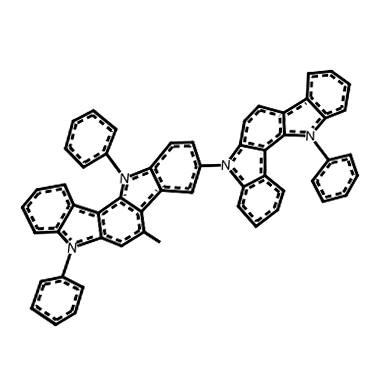 Cc1cc2c(c3ccccc3n2-c2ccccc2)c2c1c1cc(-n3c4ccccc4c4c3ccc3c5ccccc5n(-c5ccccc5)c34)ccc1n2-c1ccccc1